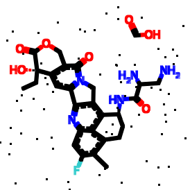 CC[C@@]1(O)C(=O)OCc2c1cc1n(c2=O)Cc2c-1nc1cc(F)c(C)c3c1c2[C@@H](NC(=O)C(N)CN)CC3.O=CO